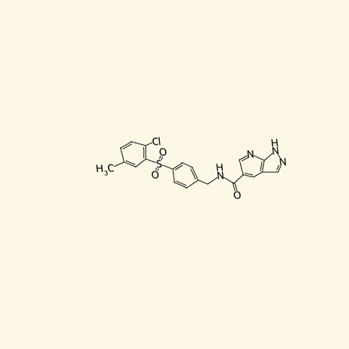 Cc1ccc(Cl)c(S(=O)(=O)c2ccc(CNC(=O)c3cnc4[nH]ncc4c3)cc2)c1